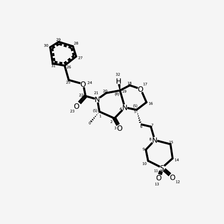 C[C@H]1C(=O)N2[C@@H](CCN3CCS(=O)(=O)CC3)COC[C@H]2CN1C(=O)OCc1ccccc1